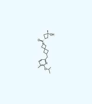 Cc1ccc(CC2CC3(C2)CN(C(=O)[C@H]2C[C@@](C)(O)C2)C3)nc1OC(C)C